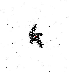 CC1=Cc2c(-c3ccc(C(C)(C)C)cc3)ccc(C)c2[CH]1[Zr]([CH3])([CH3])(=[SiH2])[CH]1C(C2CCC2)=Cc2c(-c3ccc(C(C)(C)C)cc3)cccc21.Cl.Cl